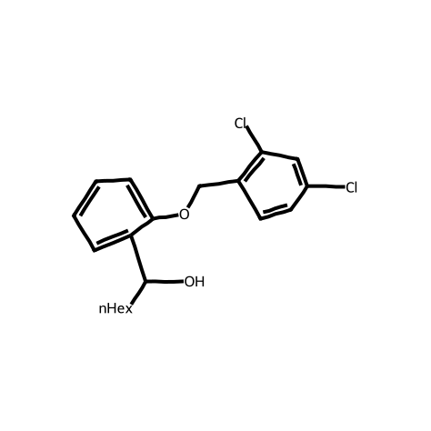 CCCCCCC(O)c1ccccc1OCc1ccc(Cl)cc1Cl